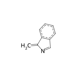 C=C1N=Cc2ccccc21